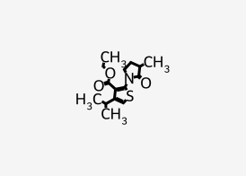 CCOC(=O)c1c(C(C)C)csc1N1CCC(C)C1=O